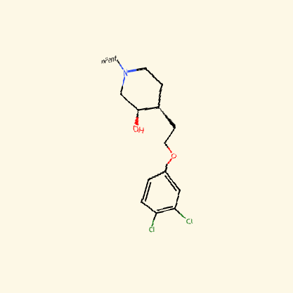 CCCCCN1CC[C@@H](CCOc2ccc(Cl)c(Cl)c2)[C@@H](O)C1